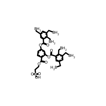 BCc1cc(CB)c(CB)c(C(=O)Oc2ccc(C(=O)OCCS(=O)(=O)O)c(OC(=O)c3cc(CB)cc(CB)c3CB)c2)c1